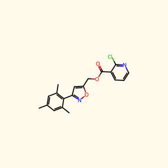 Cc1cc(C)c(-c2cc(COC(=O)c3cccnc3Cl)on2)c(C)c1